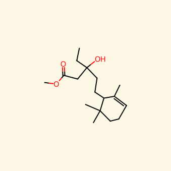 CCC(O)(CCC1C(C)=CCCC1(C)C)CC(=O)OC